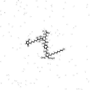 CCC=CCC=CCCCCCC(CCCCCCC)C(C=O)OC(=O)NCc1ccc(NC(=O)[C@H](CCCNC(N)=O)NC(=O)[C@@H](NC(=O)CCCCCN2C(=O)C=CC2=O)C(C)C)cc1